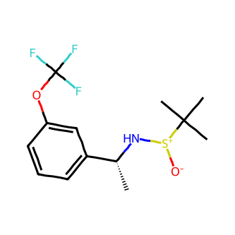 C[C@@H](N[S+]([O-])C(C)(C)C)c1cccc(OC(F)(F)F)c1